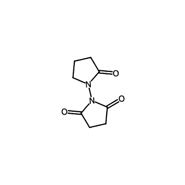 O=C1CCCN1N1C(=O)CCC1=O